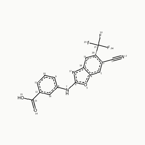 N#Cc1cc2oc(Nc3cccc(C(=O)O)c3)nc2cc1C(F)(F)F